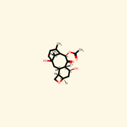 CC(=O)O[C@H]1C(=O)[C@@]2(C)[C@H](CC3(O)CCC(C)C1[C@H]3C)[C@@H]1CO[C@@H]1C[C@@H]2O